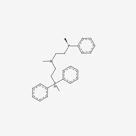 CN(CC[P@@](C)c1ccccc1)CC[PH](C)(c1ccccc1)c1ccccc1